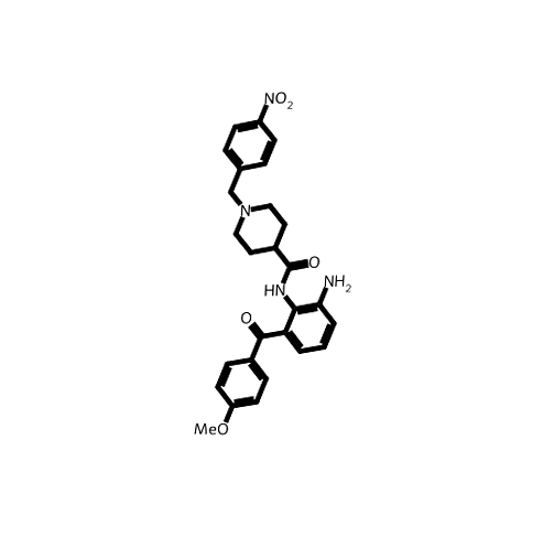 COc1ccc(C(=O)c2cccc(N)c2NC(=O)C2CCN(Cc3ccc([N+](=O)[O-])cc3)CC2)cc1